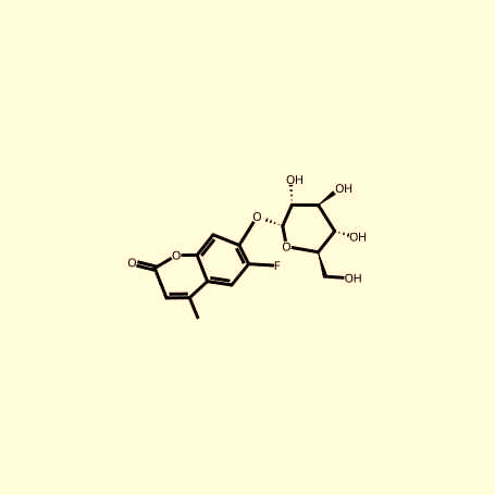 Cc1cc(=O)oc2cc(O[C@H]3O[C@H](CO)[C@@H](O)[C@H](O)[C@H]3O)c(F)cc12